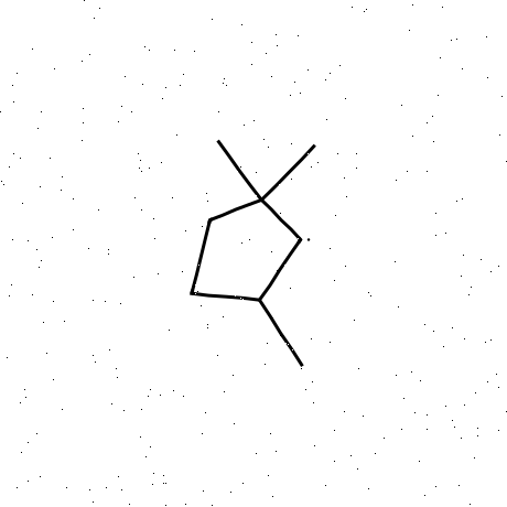 CC1[CH]C(C)(C)CC1